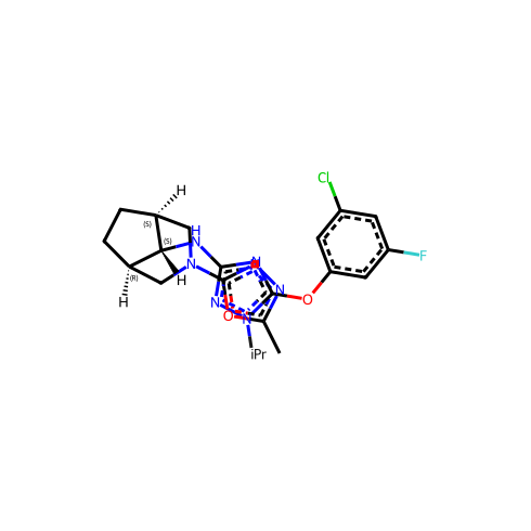 Cc1nnc(N2C[C@H]3CC[C@@H](C2)[C@@H]3Nc2nc(Oc3cc(F)cc(Cl)c3)n(C(C)C)n2)o1